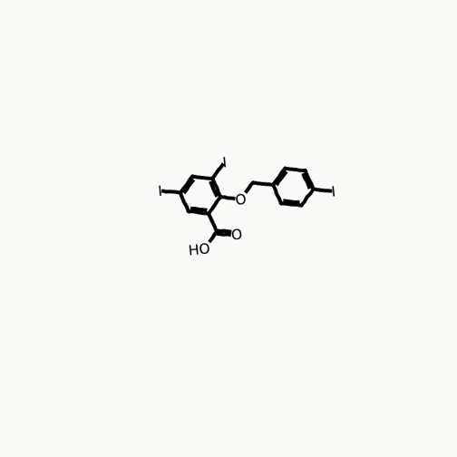 O=C(O)c1cc(I)cc(I)c1OCc1ccc(I)cc1